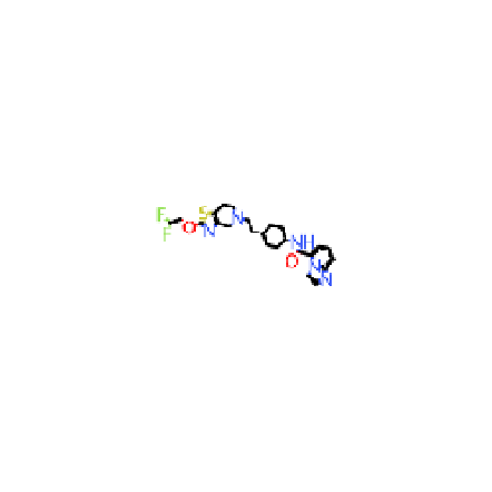 O=C(N[C@H]1CC[C@H](CCN2CCc3sc(OCC(F)F)nc3C2)CC1)c1cccc2nccn12